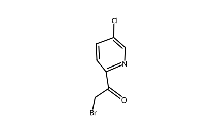 O=C(CBr)c1ccc(Cl)cn1